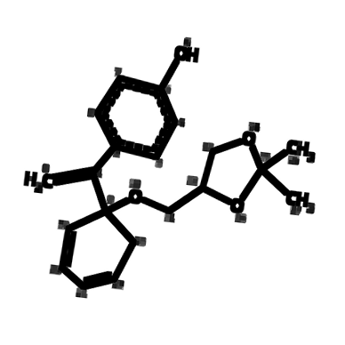 C=C(c1ccc(O)cc1)C1(OCC2COC(C)(C)O2)C=CC=CC1